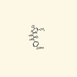 COc1ccc(NC(=O)Nc2nc(C)cc(Cl)n2)cc1